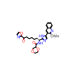 COc1nc2ccccc2cc1-c1cnc([C@H](CCCCCC(=O)c2ncco2)NC(=O)C2COCCO2)[nH]1